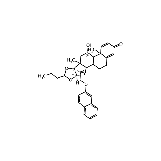 CCCC1O[C@@H]2CC3C4CCC5=CC(=O)C=CC5(C)C4[C@@H](O)CC3(C)[C@]2(C(=O)COc2ccc3ccccc3c2)O1